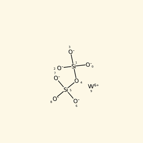 [O-][Si]([O-])([O-])O[Si]([O-])([O-])[O-].[W+6]